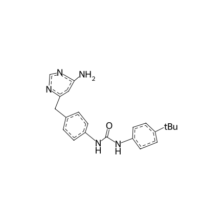 CC(C)(C)c1ccc(NC(=O)Nc2ccc(Cc3cc(N)ncn3)cc2)cc1